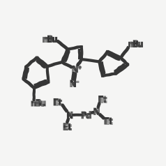 CCCCC1=C(c2cccc(CCCC)c2)[N+](=[N-])C(c2cccc(CCCC)c2)=C1.CC[N](CC)[Pd][N](CC)CC